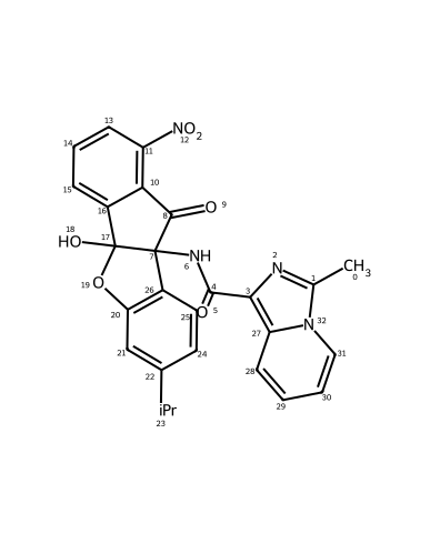 Cc1nc(C(=O)NC23C(=O)c4c([N+](=O)[O-])cccc4C2(O)Oc2cc(C(C)C)ccc23)c2ccccn12